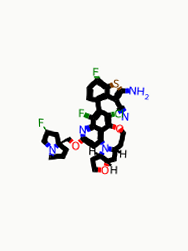 N#Cc1c(N)sc2c(F)ccc(-c3c(Cl)c4c5c(cc(OC[C@@]67CCCN6C[C@H](F)C7)nc5c3F)N3[C@H](CCO4)C[C@@H]4OCC[C@@H]43)c12